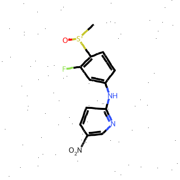 C[S+]([O-])c1ccc(Nc2ccc([N+](=O)[O-])cn2)cc1F